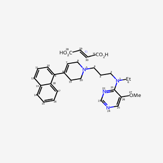 CCN(CCCN1CC=C(c2cccc3ccccc23)CC1)c1ncncc1OC.O=C(O)/C=C/C(=O)O